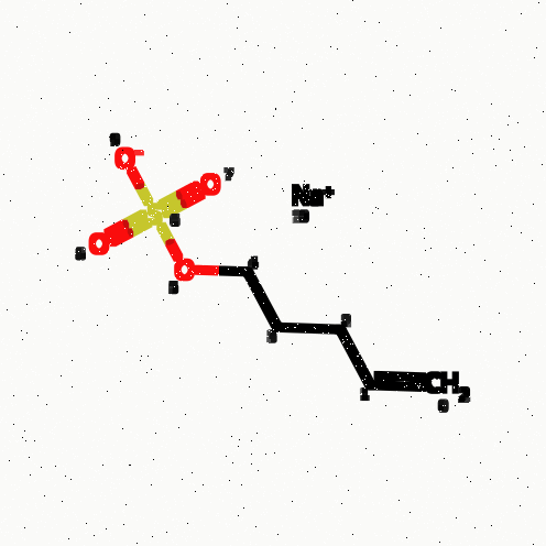 C=CCCCOS(=O)(=O)[O-].[Na+]